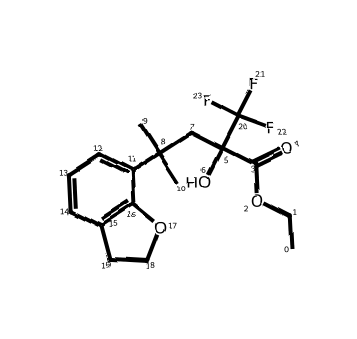 CCOC(=O)C(O)(CC(C)(C)c1cccc2c1OCC2)C(F)(F)F